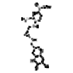 CCc1cc2ncc(CNC3CC3CNc3ccc(C(=O)NC)nc3C)cc2[nH]c1=O